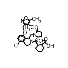 Cc1onc(COc2ccc(Cl)c3c2C(CN2CCCC2=O)N(C(=O)C2CCCC[C@]2(C)C(=O)O)CC3)c1C